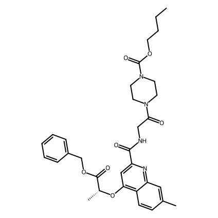 CCCCOC(=O)N1CCN(C(=O)CNC(=O)c2cc(O[C@H](C)C(=O)OCc3ccccc3)c3ccc(C)cc3n2)CC1